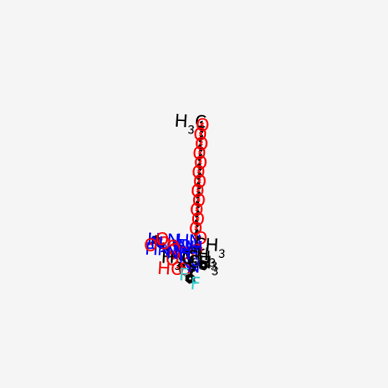 COCCOCCOCCOCCOCCOCCOCCOCCOCCOCCOCCOCCC(=O)N[C@@H](C)C(=O)N[C@H](C)C(=O)N[C@@H](CC(N)=O)C(=O)N[C@@H](CCN(C(=O)CO)[C@@H](c1cc(-c2cc(F)ccc2F)cn1Cc1ccccc1)C(C)(C)C)C(=O)NCCNC(=O)CN1C(=O)C=CC1=O